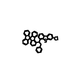 Clc1ccc2c(c1)sc1c(C(Cc3ccccc3)c3cccc4c3-c3ccccc3C43c4ccccc4-c4ccccc43)cccc12